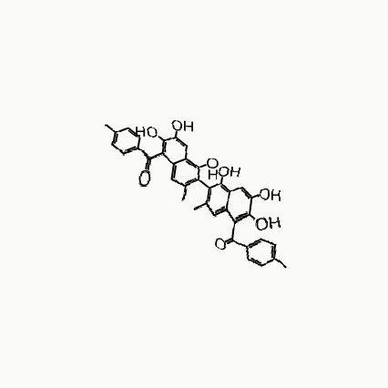 Cc1ccc(C(=O)c2c(O)c(O)cc3c(O)c(-c4c(C)cc5c(C(=O)c6ccc(C)cc6)c(O)c(O)cc5c4O)c(C)cc23)cc1